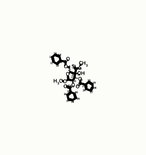 COC1O[C@H](COC(=O)c2ccccc2)[C@](O)(C(=S)SC)[C@H](OC(=O)c2ccccc2)[C@H]1OC(=O)c1ccccc1